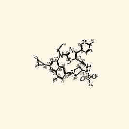 CCN(c1nc(-c2ccc(C)nc2)c(C#N)s1)c1cc(C2CC2)nc2c(F)cc(N3CC(NS(C)(=O)=O)C3)cc12